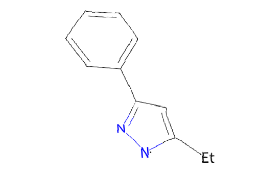 CCC1=CC(c2ccccc2)=N[N]1